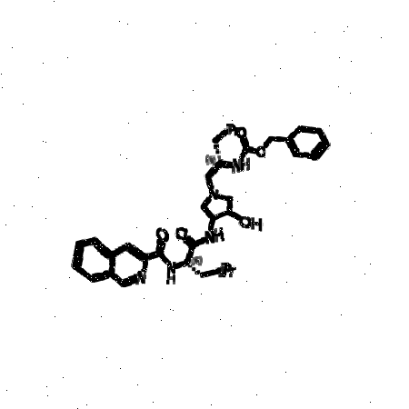 CC(C)C[C@@H](CN1CC(O)C(NC(=O)[C@H](CC(C)C)NC(=O)c2cc3ccccc3cn2)C1)NC(=O)OCc1ccccc1